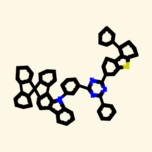 c1ccc(-c2nc(-c3cccc(-n4c5ccccc5c5ccc6c(c54)-c4ccccc4C64c5ccccc5-c5ccccc54)c3)nc(-c3ccc4c(c3)sc3cccc(-c5ccccc5)c34)n2)cc1